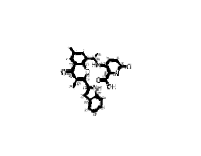 Cc1cc([C@@H](C)Nc2ccc(Cl)nc2C(=O)O)c2oc(-c3cc4ccccc4[nH]3)c(C)c(=O)c2c1